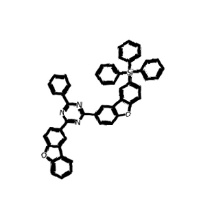 c1ccc(-c2nc(-c3ccc4oc5ccccc5c4c3)nc(-c3ccc4oc5ccc([Si](c6ccccc6)(c6ccccc6)c6ccccc6)cc5c4c3)n2)cc1